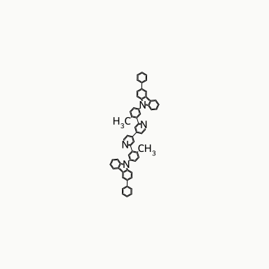 Cc1ccc(-n2c3ccccc3c3cc(-c4ccccc4)ccc32)cc1-c1cc(-c2ccnc(-c3cc(-n4c5ccccc5c5cc(-c6ccccc6)ccc54)ccc3C)c2)ccn1